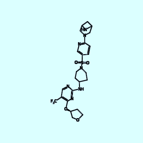 O=S(=O)(c1ccc(N2CC3CC(C2)N3)nc1)N1CCC(Nc2ncc(C(F)(F)F)c(O[C@H]3CCOC3)n2)CC1